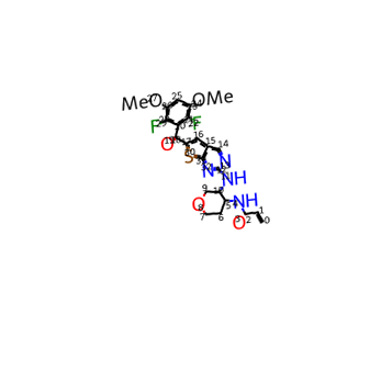 C=CC(=O)NC1CCOCC1Nc1ncc2cc(C(=O)c3c(F)c(OC)cc(OC)c3F)sc2n1